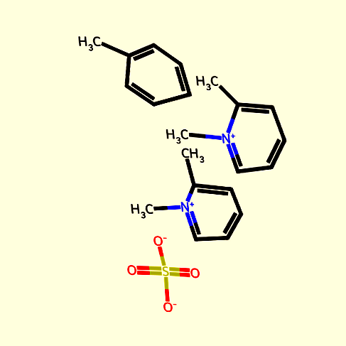 Cc1cccc[n+]1C.Cc1cccc[n+]1C.Cc1ccccc1.O=S(=O)([O-])[O-]